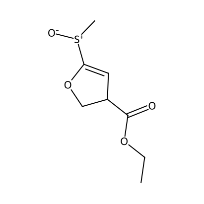 CCOC(=O)C1C=C([S+](C)[O-])OC1